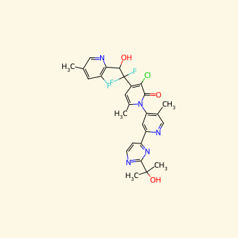 Cc1cnc(C(O)C(F)(F)c2cc(C)n(-c3cc(-c4ccnc(C(C)(C)O)n4)ncc3C)c(=O)c2Cl)c(F)c1